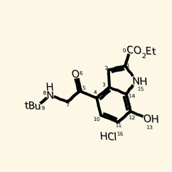 CCOC(=O)c1cc2c(C(=O)CNC(C)(C)C)ccc(O)c2[nH]1.Cl